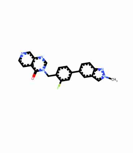 Cn1cc2cc(-c3ccc(Cn4cnc5cnccc5c4=O)c(F)c3)ccc2n1